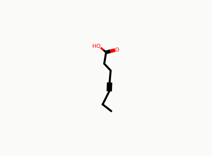 CCC#CCCC(=O)O